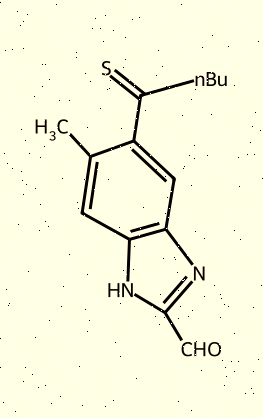 CCCCC(=S)c1cc2nc(C=O)[nH]c2cc1C